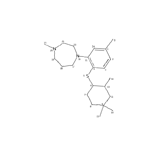 Cc1ccc(SC2CCC(C)(C)CC2C)c(N2CCCN(C)CC2)c1